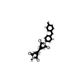 CC1CCC(CC2CCC(N3C(=O)C4C(C3=O)C4C3C4C(=O)N(C)C(=O)C43)CC2)CC1